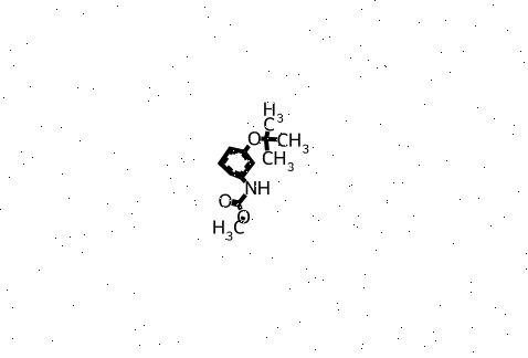 COC(=O)Nc1cccc(OC(C)(C)C)c1